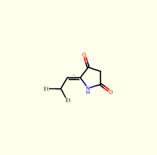 CCC(/C=C1\NC(=O)CC1=O)CC